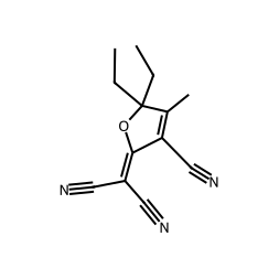 CCC1(CC)OC(=C(C#N)C#N)C(C#N)=C1C